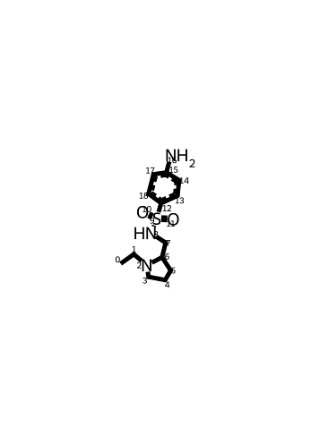 CCN1CCCC1CNS(=O)(=O)c1ccc(N)cc1